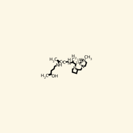 C=C(O)CCCNC(=C)CCCNC(=C)CN1CCCC1CN1CC[15N](C)[13CH2][13CH2]1